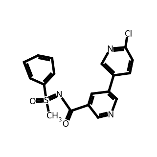 CS(=O)(=NC(=O)c1cncc(-c2ccc(Cl)nc2)c1)c1ccccc1